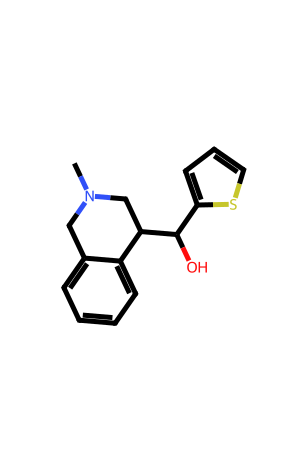 CN1Cc2ccccc2C(C(O)c2cccs2)C1